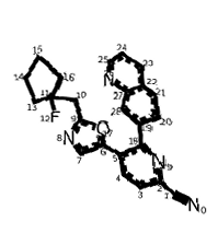 N#Cc1ccc(-c2cnc(CC3(F)CCCC3)o2)c(-c2ccc3cccnc3c2)n1